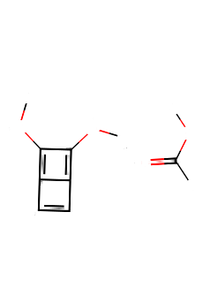 COC(C)=O.COc1c2ccc-2c1OC